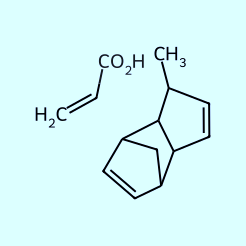 C=CC(=O)O.CC1C=CC2C3C=CC(C3)C12